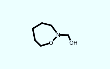 OCN1CCCCCO1